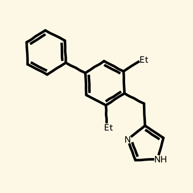 CCc1cc(-c2ccccc2)cc(CC)c1Cc1c[nH]cn1